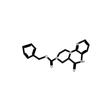 O=C1Nc2cccnc2N2CCN(C(=O)OCc3ccccc3)CC12